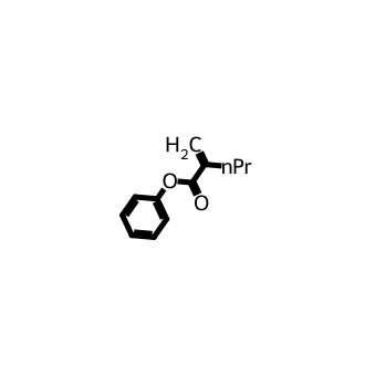 C=C(CCC)C(=O)Oc1ccccc1